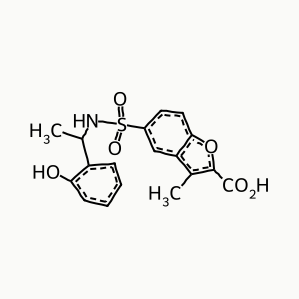 Cc1c(C(=O)O)oc2ccc(S(=O)(=O)NC(C)c3ccccc3O)cc12